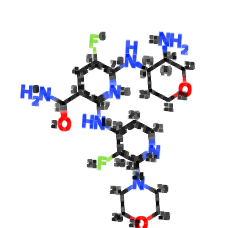 NC(=O)c1cc(F)c(N[C@@H]2CCOC[C@@H]2N)nc1Nc1ccnc(N2CCOCC2)c1F